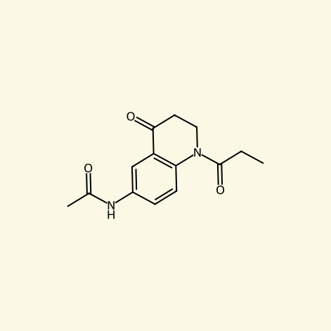 CCC(=O)N1CCC(=O)c2cc(NC(C)=O)ccc21